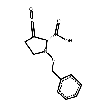 O=C=C1CCN(OCc2ccccc2)[C@H]1C(=O)O